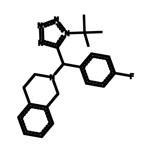 CC(C)(C)n1nnnc1C(c1ccc(F)cc1)N1CCc2ccccc2C1